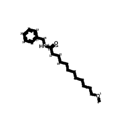 COCCCCCCCCCCCC(=O)NCc1ccccc1